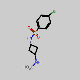 O=C(O)N[C@H]1C[C@H](NS(=O)(=O)c2ccc(Br)cc2)C1